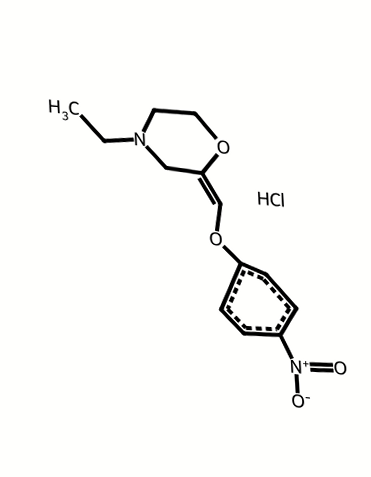 CCN1CCOC(=COc2ccc([N+](=O)[O-])cc2)C1.Cl